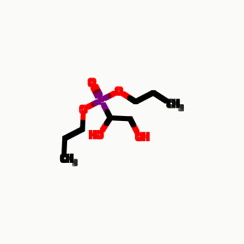 CCCOP(=O)(OCCC)C(O)CO